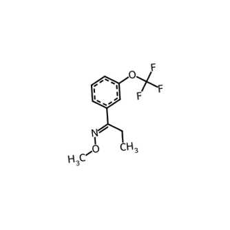 CC/C(=N\OC)c1cccc(OC(F)(F)F)c1